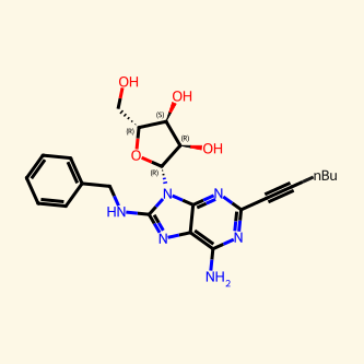 CCCCC#Cc1nc(N)c2nc(NCc3ccccc3)n([C@@H]3O[C@H](CO)[C@@H](O)[C@H]3O)c2n1